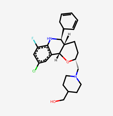 OCC1CCN(C[C@H]2CC[C@@H]3[C@H](O2)c2cc(Cl)cc(F)c2N[C@H]3C2C=CC=CC2)CC1